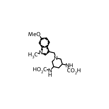 COc1ccc2c(CN3CC(NC(=O)O)CC(NC(=O)O)C3)cn(C)c2c1